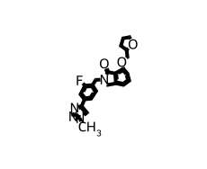 Cn1cc(-c2ccc(CN3Cc4cccc(OCC5CCCO5)c4C3=O)c(F)c2)nn1